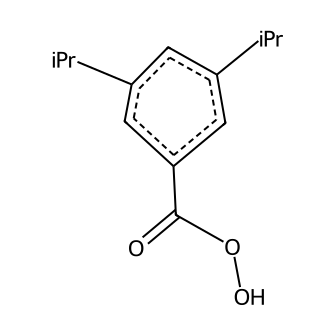 CC(C)c1cc(C(=O)OO)cc(C(C)C)c1